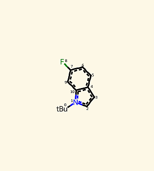 CC(C)(C)n1ccc2ccc(F)cc21